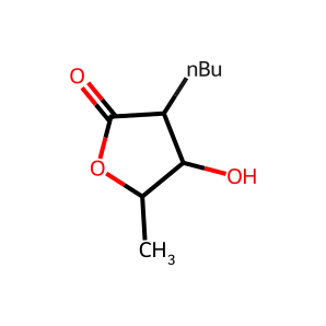 CCCCC1C(=O)OC(C)C1O